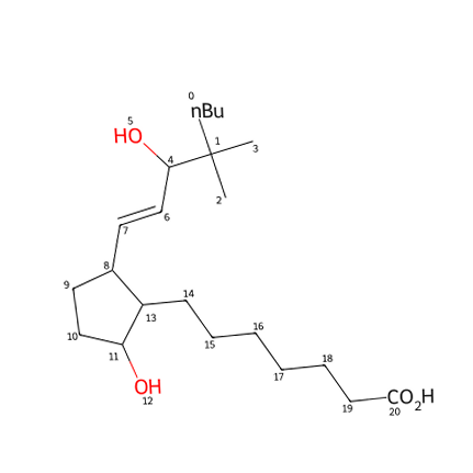 CCCCC(C)(C)C(O)C=CC1CCC(O)C1CCCCCCC(=O)O